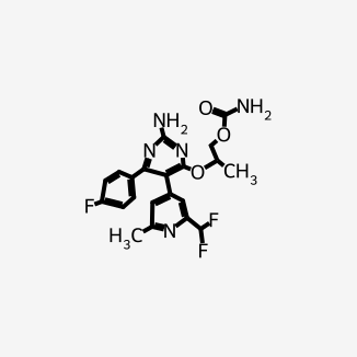 Cc1cc(-c2c(OC(C)COC(N)=O)nc(N)nc2-c2ccc(F)cc2)cc(C(F)F)n1